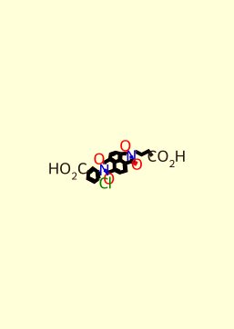 O=C(O)CCCN1C(=O)c2ccc3c4c(ccc(c24)C1=O)C(=O)N(c1cc(C(=O)O)ccc1Cl)C3=O